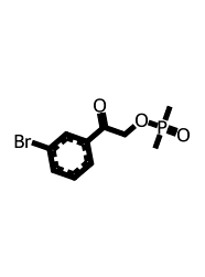 CP(C)(=O)OCC(=O)c1cccc(Br)c1